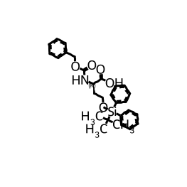 CC(C)(C)[Si](OCC[C@@H](NC(=O)OCc1ccccc1)C(=O)O)(c1ccccc1)c1ccccc1